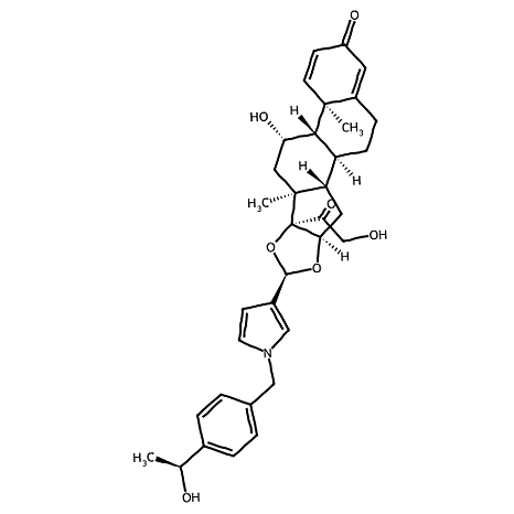 C[C@H](O)c1ccc(Cn2ccc([C@@H]3O[C@@H]4C[C@H]5[C@@H]6CCC7=CC(=O)C=C[C@]7(C)[C@H]6[C@@H](O)C[C@]5(C)[C@]4(C(=O)CO)O3)c2)cc1